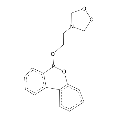 c1ccc2c(c1)OP(OCCN1COOC1)c1ccccc1-2